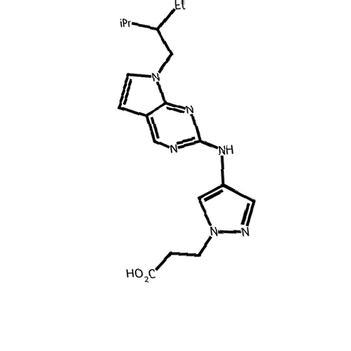 CCC(Cn1ccc2cnc(Nc3cnn(CCC(=O)O)c3)nc21)C(C)C